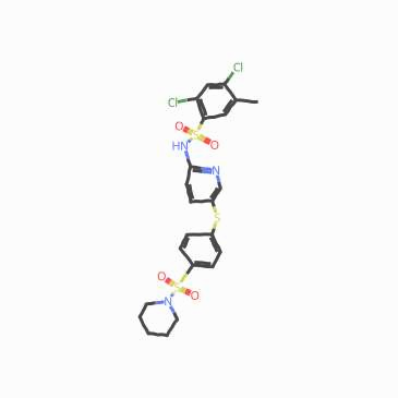 Cc1cc(S(=O)(=O)Nc2ccc(Sc3ccc(S(=O)(=O)N4CCCCC4)cc3)cn2)c(Cl)cc1Cl